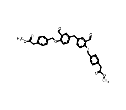 COC(=O)Cc1ccc(COc2ccc(Cc3ccc(OCc4ccc(CC(=O)OC)cc4)c(C=O)c3)cc2C=O)cc1